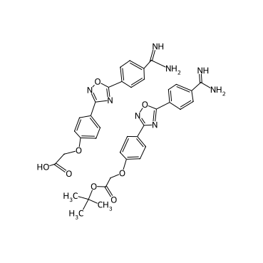 CC(C)(C)OC(=O)COc1ccc(-c2noc(-c3ccc(C(=N)N)cc3)n2)cc1.N=C(N)c1ccc(-c2nc(-c3ccc(OCC(=O)O)cc3)no2)cc1